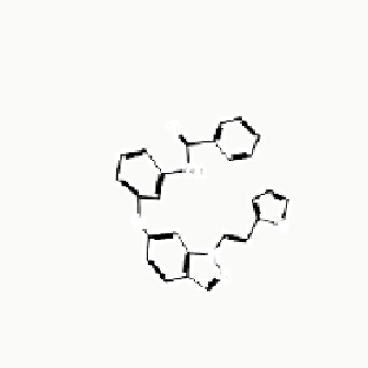 O=C(Nc1cccc(Oc2ccc3cnn(C=Cc4ccco4)c3c2)c1)c1ccccc1